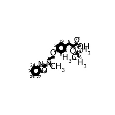 CN(CCOc1ccc(CC(OC(C)(C)C)C(=O)O)cc1)c1nc2ccccc2o1